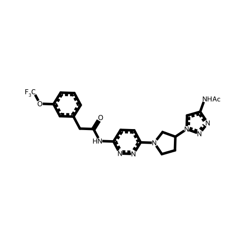 CC(=O)Nc1cn(C2CCN(c3ccc(NC(=O)Cc4cccc(OC(F)(F)F)c4)nn3)C2)nn1